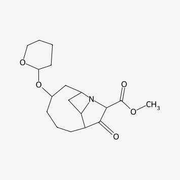 COC(=O)C1C(=O)C2CCCC(OC3CCCCO3)CC3CC2N31